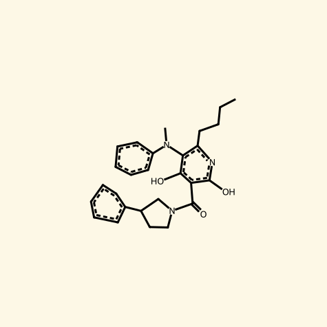 CCCCc1nc(O)c(C(=O)N2CCC(c3ccccc3)C2)c(O)c1N(C)c1ccccc1